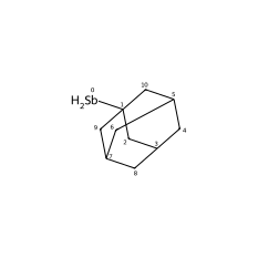 [SbH2][C]12CC3CC(CC(C3)C1)C2